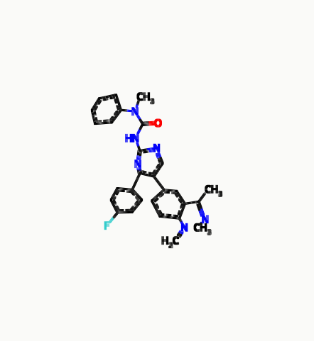 C=Nc1ccc(-c2cnc(NC(=O)N(C)c3ccccc3)nc2-c2ccc(F)cc2)cc1/C(C)=N\C